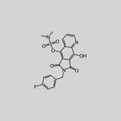 CN(C)S(=O)(=O)Oc1c2c(c(O)c3ncccc13)C(=O)N(Cc1ccc(F)cc1)C2=O